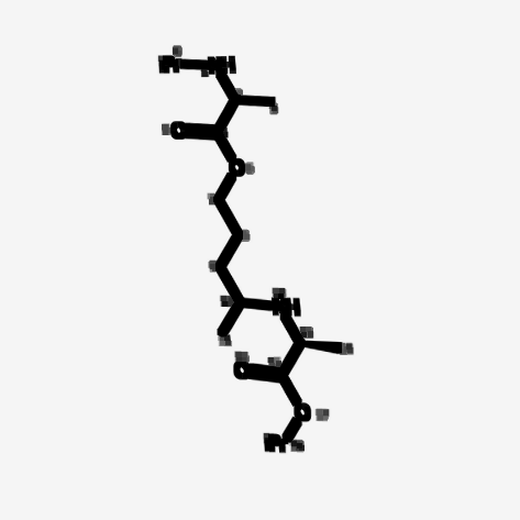 CC(C)NC(C)C(=O)OCCCC(C)N[C@@H](C)C(=O)OC(C)C